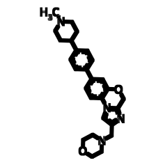 CN1CCC(c2ccc(-c3ccc4c(c3)OCc3nc(CN5CCOCC5)cn3-4)cc2)CC1